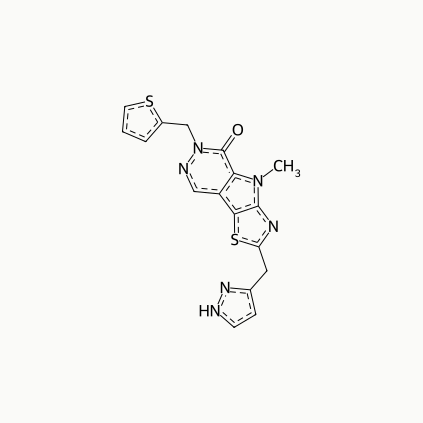 Cn1c2nc(Cc3cc[nH]n3)sc2c2cnn(Cc3cccs3)c(=O)c21